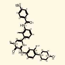 Cc1c(NC(=O)c2ccc(C(C)(C)C)cc2)cccc1-c1cn(C)c(=O)c(Nc2ccc(N3CC[S+]([O-])CC3)c(F)c2)n1